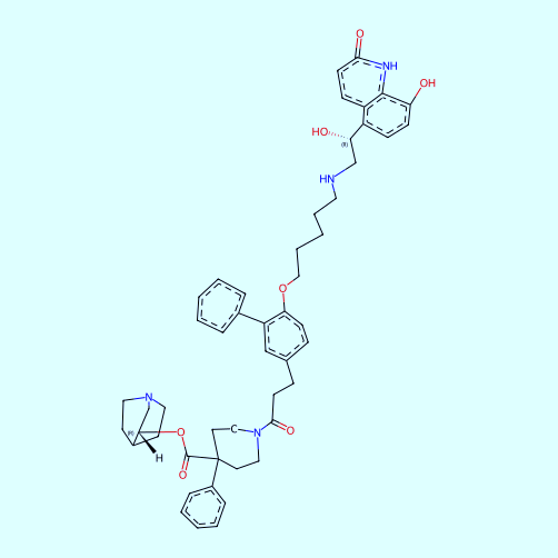 O=C(CCc1ccc(OCCCCCNC[C@H](O)c2ccc(O)c3[nH]c(=O)ccc23)c(-c2ccccc2)c1)N1CCC(C(=O)O[C@H]2CN3CCC2CC3)(c2ccccc2)CC1